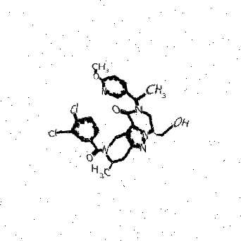 COc1ccc(C(C)N2C[C@@H](CO)n3nc4c(c3C2=O)CN(C(=O)c2ccc(Cl)c(Cl)c2)[C@H](C)C4)cn1